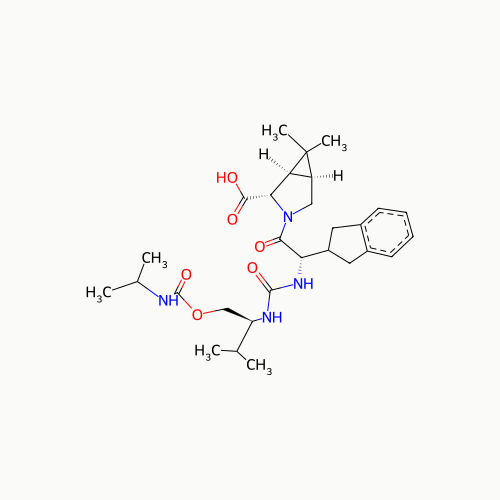 CC(C)NC(=O)OC[C@@H](NC(=O)N[C@H](C(=O)N1C[C@H]2[C@@H]([C@H]1C(=O)O)C2(C)C)C1Cc2ccccc2C1)C(C)C